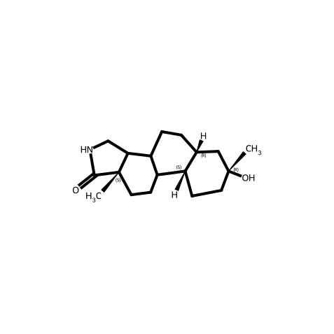 C[C@@]1(O)CC[C@@H]2C3CC[C@]4(C)C(=O)NCC4C3CC[C@@H]2C1